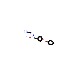 CC(=O)N(CC#N)N=Cc1ccc(OCc2ccccc2)cc1